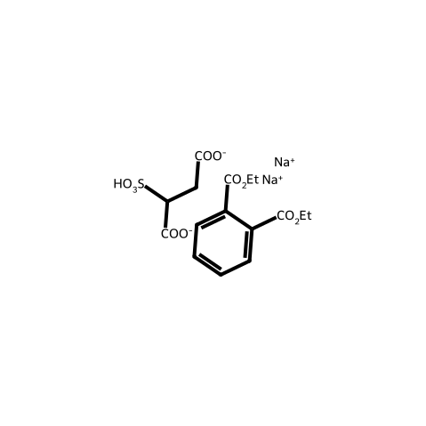 CCOC(=O)c1ccccc1C(=O)OCC.O=C([O-])CC(C(=O)[O-])S(=O)(=O)O.[Na+].[Na+]